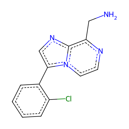 NCc1nccn2c(-c3ccccc3Cl)cnc12